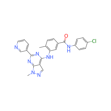 Cc1ccc(C(=O)Nc2ccc(Cl)cc2)cc1Nc1nc(-c2cccnc2)nc2c1cnn2C